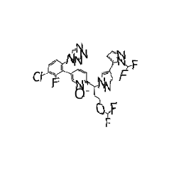 [O-][n+]1cc(-c2c(-n3cnnn3)ccc(Cl)c2F)ccc1[C@H](CCOC(F)F)n1cc(-c2ccnn2C(F)F)cn1